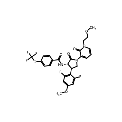 COCCn1cccc(N2C[C@@H](c3c(F)cc(OC)cc3F)[C@H](NC(=O)c3ccc(OC(F)(F)F)cc3)C2=O)c1=O